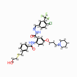 O=C(Nc1ccc(OCCCN2CCCCC2)cc1C(=O)N/N=C\c1ccc(Cl)c(C(F)(F)F)c1)c1cccc(CSCCO)c1